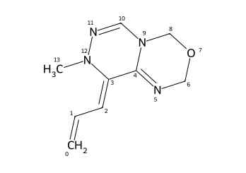 C=C/C=C1/C2=NCOCN2C=NN1C